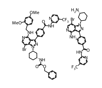 COc1ccc(CNc2ncc(Br)c3c2c(-c2ccc(C(=O)Nc4cc(C(F)(F)F)ccn4)cc2)nn3[C@@H]2CCC[C@@H](NC(=O)OCc3ccccc3)C2)c(OC)c1.Nc1ncc(Br)c2c1c(-c1ccc(C(=O)Nc3cc(C(F)(F)F)ccn3)cc1)nn2[C@@H]1CCC[C@@H](N)C1